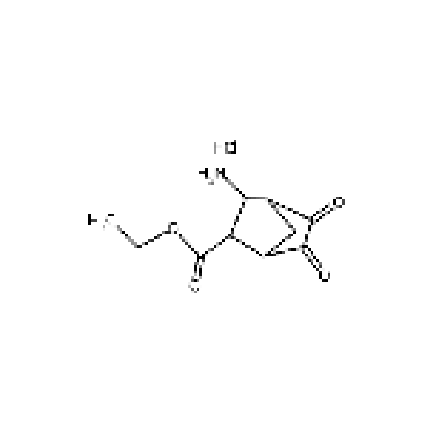 CCOC(=O)C1C2CC(C(=O)C2=O)C1N.Cl